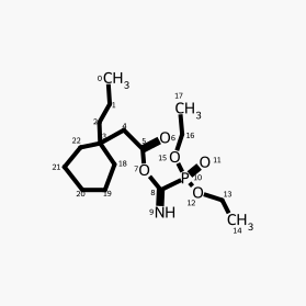 CCCC1(CC(=O)OC(=N)P(=O)(OCC)OCC)CCCCC1